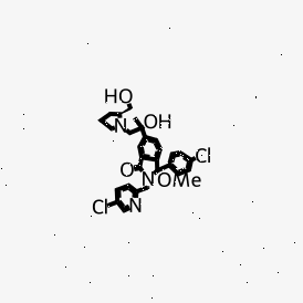 CO[C@]1(c2ccc(Cl)cc2)c2ccc(C(C)(O)CN3CCC[C@H]3CO)cc2C(=O)N1Cc1ccc(Cl)cn1